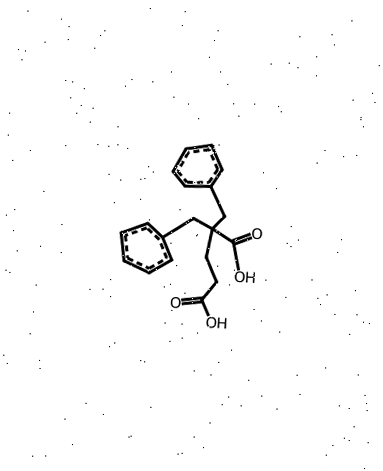 O=C(O)CCC(Cc1ccccc1)(Cc1ccccc1)C(=O)O